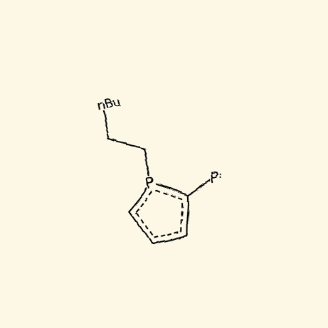 CCCCCCp1cccc1[P]